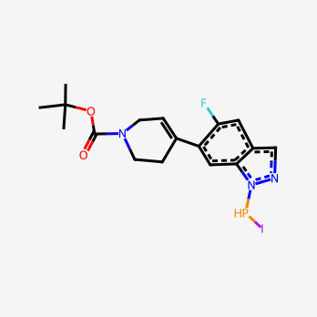 CC(C)(C)OC(=O)N1CC=C(c2cc3c(cnn3PI)cc2F)CC1